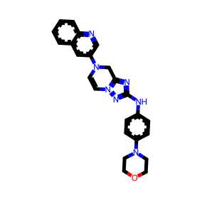 C1=Cn2nc(Nc3ccc(N4CCOCC4)cc3)nc2CN1c1cnc2ccccc2c1